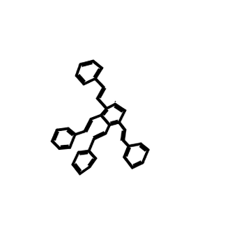 [c]1cc(C=Cc2ccccc2)c(C=Cc2ccccc2)c(C=Cc2ccccc2)c1C=Cc1ccccc1